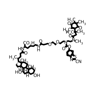 CC1=C(C)C(=O)C(C(C)(C)CC(=O)N(C)CCN(CCOCCOCCC(=O)NCCCCC(NC(=O)CC[C@@H](C)[C@H]2CC[C@H]3[C@@H]4[C@@H](O)C[C@@H]5C[C@H](O)CC[C@]5(C)[C@H]4CC[C@]23C)C(=O)O)C(=O)Oc2ccc3nc(C#N)sc3c2)=C(C)C1=O